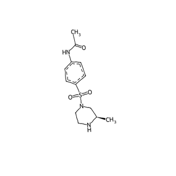 CC(=O)Nc1ccc(S(=O)(=O)N2CCN[C@H](C)C2)cc1